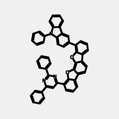 c1ccc(-c2cc(-c3cccc4c3oc3c4ccc4c5cccc(-c6ccc7c(c6)c6ccccc6n7-c6ccccc6)c5oc43)nc(-c3ccccc3)n2)cc1